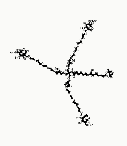 CC(=O)N[C@H]1[C@H]2OC[C@@](COCCOCCOCCOCCn3cc(COCC(COCc4cn(CCOCCOCCOCCOC[C@]56CO[C@@H](O5)[C@H](NC(C)=O)[C@@H](O)[C@H]6O)nn4)(COCc4cn(CCOCCOCCOCCOC[C@]56CO[C@@H](O5)[C@H](NC(C)=O)[C@@H](O)[C@H]6O)nn4)NC(=O)CCCCCNC(=O)CCCCCB4OC(C)(C)C(C)(C)O4)nn3)(O2)[C@H](O)[C@@H]1O